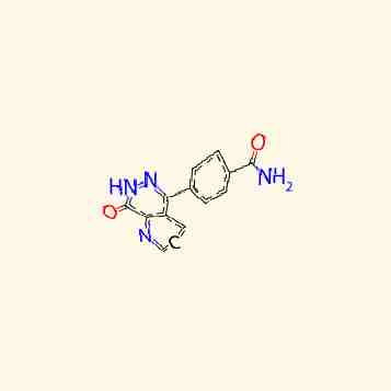 NC(=O)c1ccc(-c2n[nH]c(=O)c3ncccc23)cc1